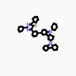 c1ccc(-c2nc(-c3cccc(-c4ccc5c(c4)c4cc(-n6c7ccccc7c7ccccc76)ccc4n5-c4ccccc4)c3)c3sc4ccccc4c3n2)cc1